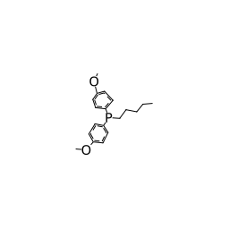 CCCCCP(c1ccc(OC)cc1)c1ccc(OC)cc1